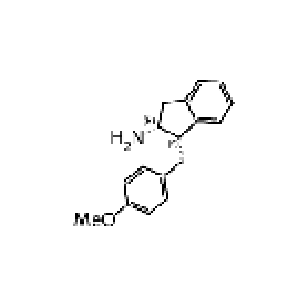 COc1ccc(C[C@H]2c3ccccc3C[C@H]2N)cc1